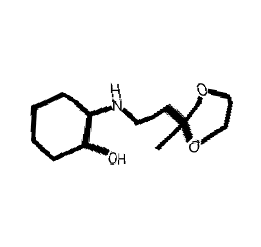 CC1(CCNC2CCCCC2O)OCCO1